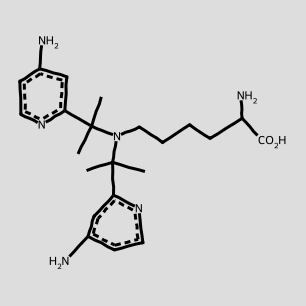 CC(C)(c1cc(N)ccn1)N(CCCCC(N)C(=O)O)C(C)(C)c1cc(N)ccn1